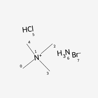 C[N+](C)(C)C.Cl.N.[Br-]